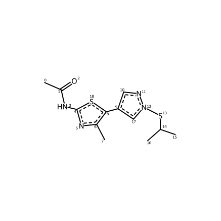 CC(=O)Nc1nc(C)c(-c2cnn(SC(C)C)c2)s1